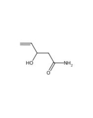 C=CC(O)CC(N)=O